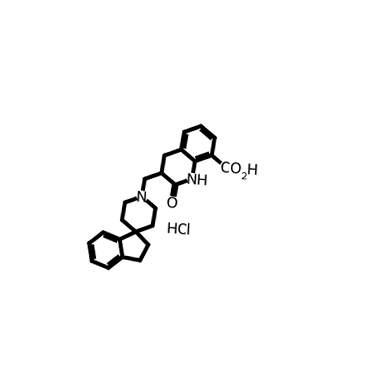 Cl.O=C(O)c1cccc2c1NC(=O)C(CN1CCC3(CCc4ccccc43)CC1)C2